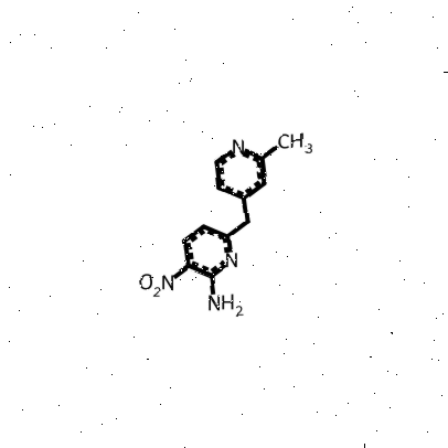 Cc1cc(Cc2ccc([N+](=O)[O-])c(N)n2)ccn1